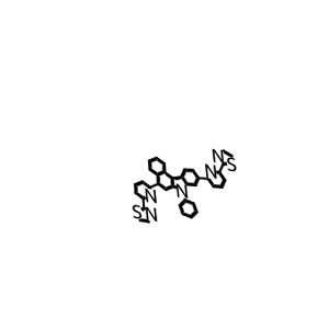 c1ccc(-n2c3cc(-c4cccc(-c5nccs5)n4)ccc3c3c4ccccc4c(-c4cccc(-c5nccs5)n4)cc32)cc1